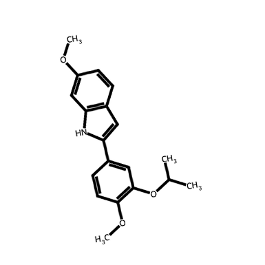 COc1ccc2cc(-c3ccc(OC)c(OC(C)C)c3)[nH]c2c1